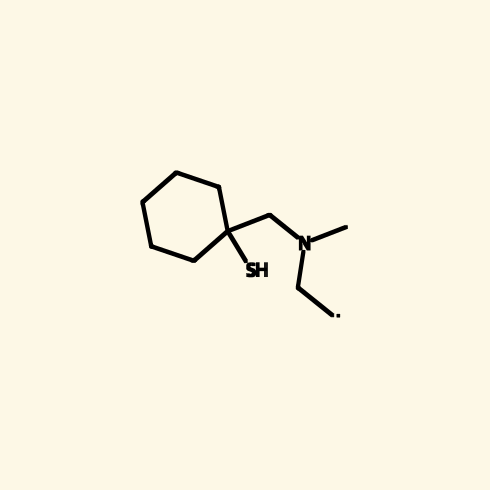 [CH2]CN(C)CC1(S)CCCCC1